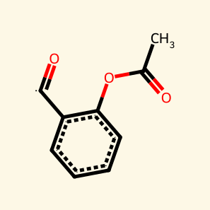 CC(=O)Oc1ccccc1[C]=O